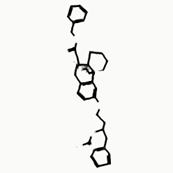 O=C(O)OC(CCOc1ccc2c(c1)[C@@]13CCCC[C@H]1[C@@H](C2)N(C(=O)OCc1ccccc1)CC3)Cc1ccccc1